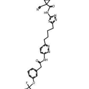 N#CC1(C(=O)Nc2nnc(CCCCc3ccc(NC(=O)Cc4cccc(OC(F)(F)F)c4)nn3)s2)CC1